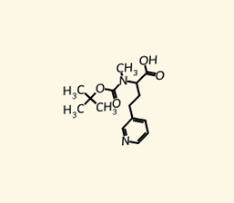 CN(C(=O)OC(C)(C)C)C(CCc1cccnc1)C(=O)O